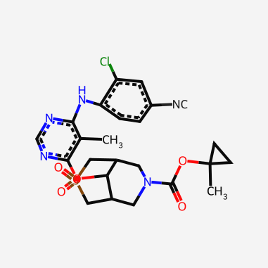 [C-]#[N+]c1ccc(Nc2ncnc(OC3C4CN(C(=O)OC5(C)CC5)CC3CS(=O)(=O)C4)c2C)c(Cl)c1